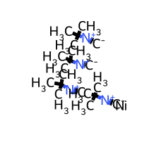 [C-]#[N+]C(C)(C)C.[C-]#[N+]C(C)(C)C.[C-]#[N+]C(C)(C)C.[C-]#[N+]C(C)(C)C.[Ni]